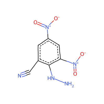 N#Cc1cc([N+](=O)[O-])cc([N+](=O)[O-])c1NN